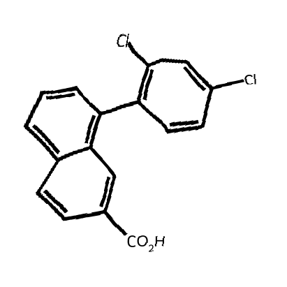 O=C(O)c1ccc2cccc(-c3ccc(Cl)cc3Cl)c2c1